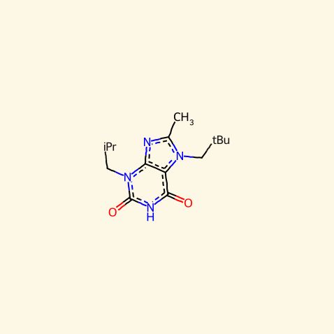 Cc1nc2c(c(=O)[nH]c(=O)n2CC(C)C)n1CC(C)(C)C